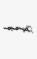 CCCCc1ccc(OC(=O)C=Cc2ccc(OCCCOC(=O)c3cc(N)cc(N)c3)cc2)cc1